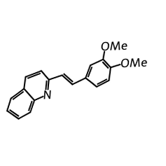 COc1ccc(C=Cc2ccc3ccccc3n2)cc1OC